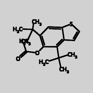 CC(=O)Oc1c(C(C)(C)C)cc2sccc2c1C(C)(C)C